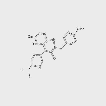 COc1ccc(Cn2nc3ccc(=O)[nH]c3c(-c3ccc(C(F)F)nc3)c2=O)cc1